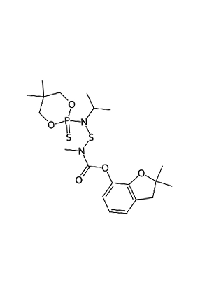 CC(C)N(SN(C)C(=O)Oc1cccc2c1OC(C)(C)C2)P1(=S)OCC(C)(C)CO1